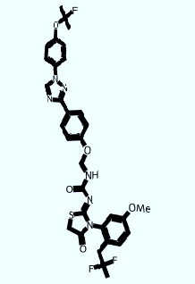 COc1ccc(CC(C)(F)F)c(N2C(=O)CS/C2=N\C(=O)NCOc2ccc(-c3ncn(-c4ccc(OC(C)(C)F)cc4)n3)cc2)c1